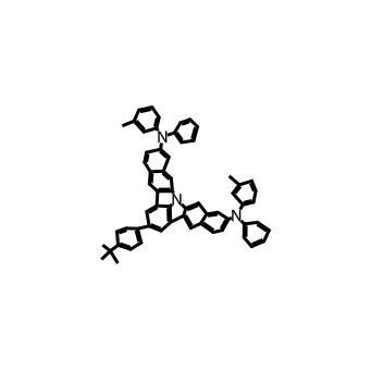 Cc1cccc(N(c2ccccc2)c2ccc3cc4c5cc(-c6ccc(C(C)(C)C)cc6)cc6c7cc8ccc(N(c9ccccc9)c9cccc(C)c9)cc8cc7n(c4cc3c2)c56)c1